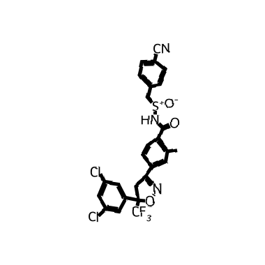 Cc1cc(C2=NOC(c3cc(Cl)cc(Cl)c3)(C(F)(F)F)C2)ccc1C(=O)N[S+]([O-])Cc1ccc(C#N)cc1